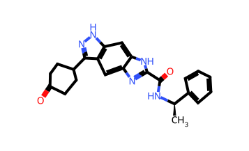 C[C@@H](NC(=O)c1nc2cc3c(C4CCC(=O)CC4)n[nH]c3cc2[nH]1)c1ccccc1